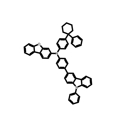 c1ccc(-n2c3ccccc3c3cc(-c4ccc(N(c5ccc(C6(c7ccccc7)CCCCC6)cc5)c5ccc6c(c5)oc5ccccc56)cc4)ccc32)cc1